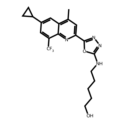 Cc1cc(-c2nnc(NCCCCCO)o2)nc2c(C(F)(F)F)cc(C3CC3)cc12